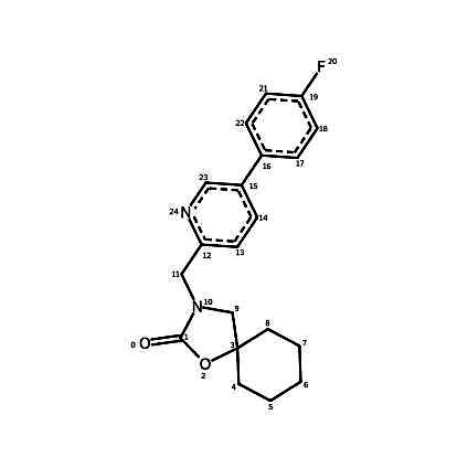 O=C1OC2(CCCCC2)CN1Cc1ccc(-c2ccc(F)cc2)cn1